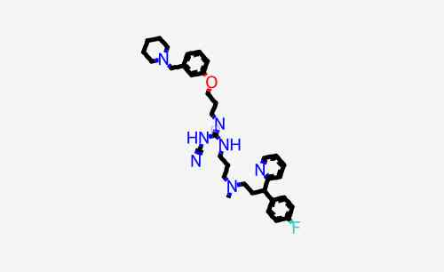 CN(CCCN/C(=N/CCCOc1cccc(CN2CCCCC2)c1)NC#N)CCC(c1ccc(F)cc1)c1ccccn1